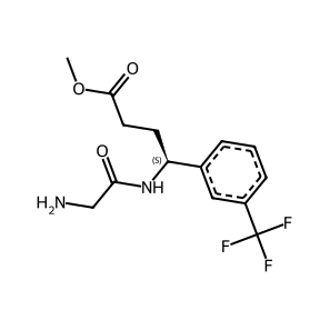 COC(=O)CC[C@H](NC(=O)CN)c1cccc(C(F)(F)F)c1